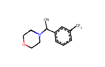 N#CC(c1cccc(C(F)(F)F)c1)N1CCOCC1